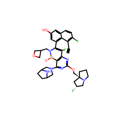 C#Cc1c(F)ccc2cc(O)cc(C3=C(F)c4nc(OC[C@@]56CCCN5C[C@H](F)C6)nc(N5CC6CCC(C5)N6)c4[S+]([O-])N3CC3COC3)c12